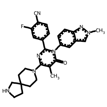 Cc1c(N2CCC3(CCNC3)CC2)nc(-c2ccc(C#N)c(F)c2)n(-c2ccc3nn(C)cc3c2)c1=O